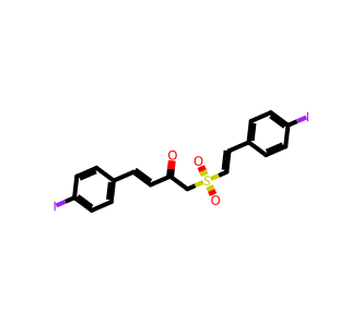 O=C(C=Cc1ccc(I)cc1)CS(=O)(=O)C=Cc1ccc(I)cc1